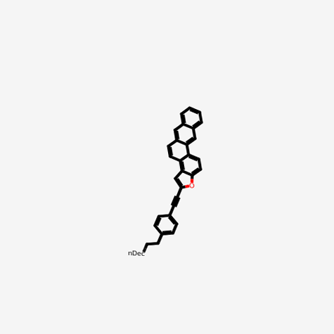 CCCCCCCCCCCCc1ccc(C#Cc2cc3c(ccc4c5cc6ccccc6cc5ccc34)o2)cc1